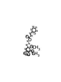 COc1c(CCCOC(=O)/C=C/c2ccccc2)cc2c(c1OC)OCO2